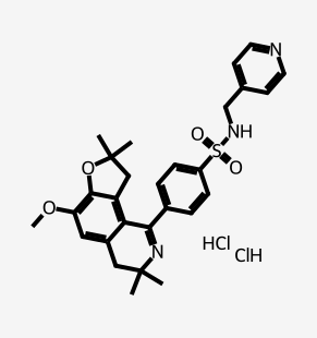 COc1cc2c(c3c1OC(C)(C)C3)C(c1ccc(S(=O)(=O)NCc3ccncc3)cc1)=NC(C)(C)C2.Cl.Cl